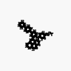 CCCc1ccc(N(C2=CCc3ccc4c5c(ccc2c35)C=CC4)c2ccc(-c3ccc(-c4ccccc4)cc3)cc2)cc1